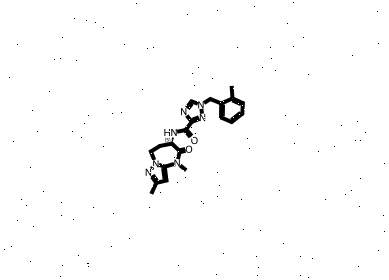 Cc1cc2n(n1)CC[C@H](NC(=O)c1ncn(Cc3ccccc3C)n1)C(=O)N2C